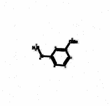 COc1cccc([N]N)c1